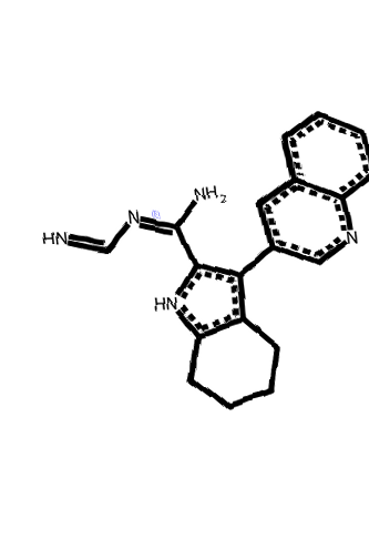 N=C/N=C(/N)c1[nH]c2c(c1-c1cnc3ccccc3c1)CCCC2